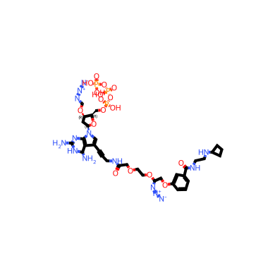 [N-]=[N+]=NCO[C@@H]1C[C@H](n2cc(C#CCNC(=O)COCCOC(COc3cccc(C(=O)NCCNC4CCC4)c3)N=[N+]=[N-])c3c2N=C(N)NC3N)O[C@@H]1COP(=O)(O)OP(=O)(O)OP(=O)(O)O